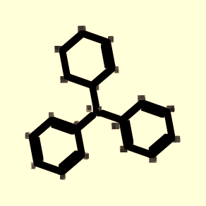 C1=CC(N(c2ccccc2)c2ccccc2)CCC1